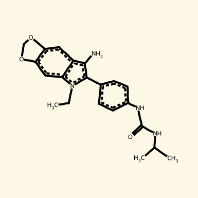 CCn1c(-c2ccc(NC(=O)NC(C)C)cc2)c(N)c2cc3c(cc21)OCO3